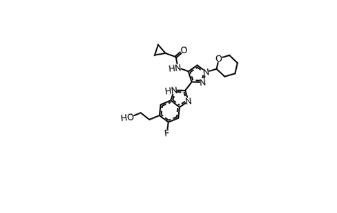 O=C(Nc1cn(C2CCCCO2)nc1-c1nc2cc(F)c(CCO)cc2[nH]1)C1CC1